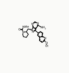 CCOc1ccc2cc(-c3nn(CC4CCCCN4C(=O)NC)c4ncnc(N)c34)ccc2n1